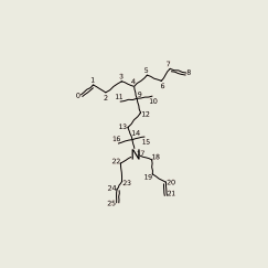 C=CCCC(CCC=C)C(C)(C)CCC(C)(C)N(CCC=C)CCC=C